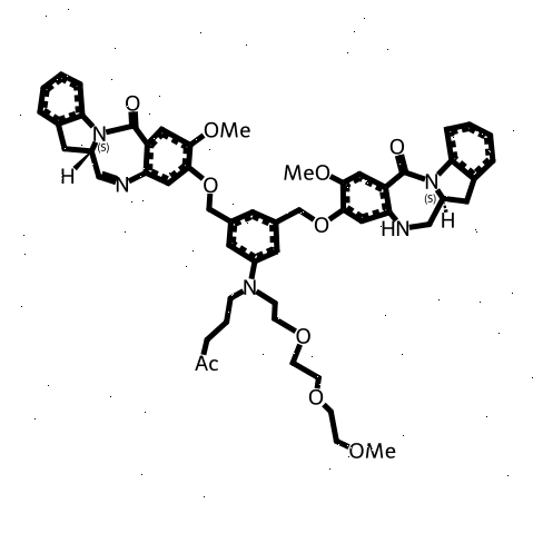 COCCOCCOCCN(CCCC(C)=O)c1cc(COc2cc3c(cc2OC)C(=O)N2c4ccccc4C[C@H]2C=N3)cc(COc2cc3c(cc2OC)C(=O)N2c4ccccc4C[C@H]2CN3)c1